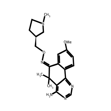 COc1ccc2c(c1)/C(=N\OC[C@H]1CCN(C)C1)C(C)(C)c1c(N)ncnc1-2